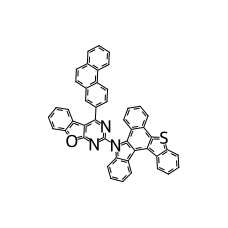 c1ccc2c(c1)ccc1cc(-c3nc(-n4c5ccccc5c5c6c7ccccc7sc6c6ccccc6c54)nc4oc5ccccc5c34)ccc12